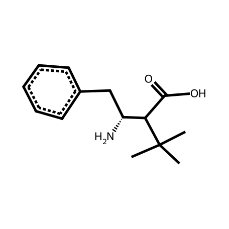 CC(C)(C)C(C(=O)O)[C@H](N)Cc1ccccc1